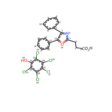 O=C(O)CCc1nc(-c2ccccc2)c(-c2ccccc2)o1.Oc1c(Cl)c(Cl)c(Cl)c(Cl)c1Cl